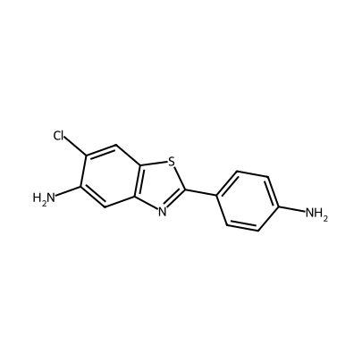 Nc1ccc(-c2nc3cc(N)c(Cl)cc3s2)cc1